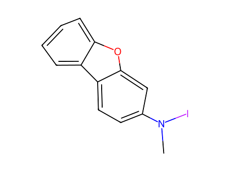 CN(I)c1ccc2c(c1)oc1ccccc12